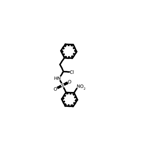 O=[N+]([O-])c1ccccc1S(=O)(=O)NC(Cl)Cc1ccccc1